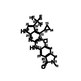 CN1Cc2cc(Cl)c(Nc3nc(C4CC4)c4c(C(F)(F)F)c[nH]c4n3)cc2C1=O